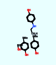 CNc1ccc(O)cc1.CNc1ccc(O)cc1.O=C(O)CNc1ccc(O)cc1.O=S(=O)(O)O